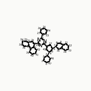 c1ccc(-c2cc(-c3ccc4ccccc4c3)cc(-c3nc(-c4ccccc4)nc(-c4cc5ccccc5c5ccccc45)n3)c2)cc1